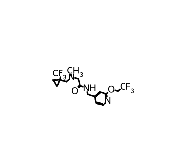 CN(CC(=O)NCc1ccnc(OCC(F)(F)F)c1)CC1(C(F)(F)F)CC1